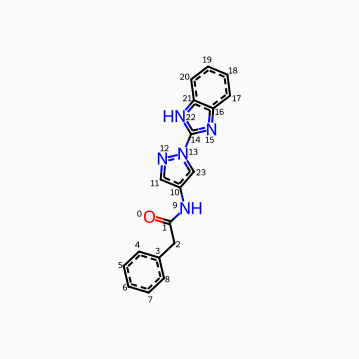 O=C(Cc1ccccc1)Nc1cnn(-c2nc3ccccc3[nH]2)c1